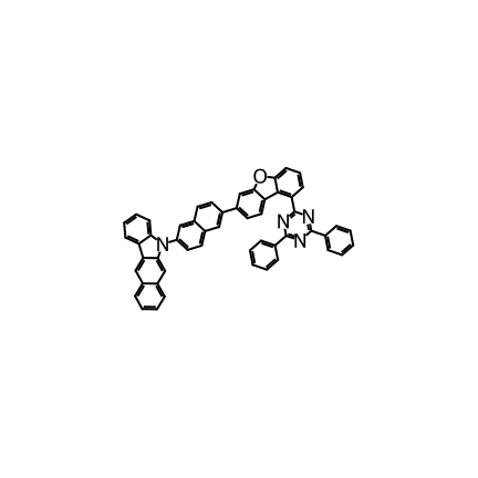 c1ccc(-c2nc(-c3ccccc3)nc(-c3cccc4oc5cc(-c6ccc7cc(-n8c9ccccc9c9cc%10ccccc%10cc98)ccc7c6)ccc5c34)n2)cc1